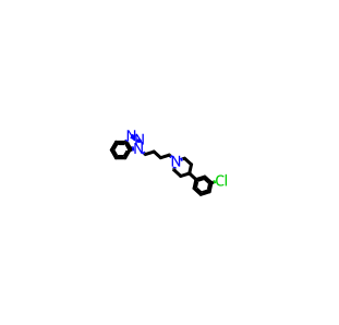 Clc1cccc(C2CCN(CCCCn3nnc4ccccc43)CC2)c1